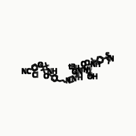 Cc1ncsc1-c1ccc([C@H](C)NC(=O)[C@@H]2C[C@@H](O)CN2C(=O)[C@@H](NC(=O)CN2CCN(CCCc3ccc(C(=O)N[C@H]4C(C)(C)[C@H](Oc5ccc(C#N)c(Cl)c5)C4(C)C)cc3)CC2)C(C)(C)C)cc1